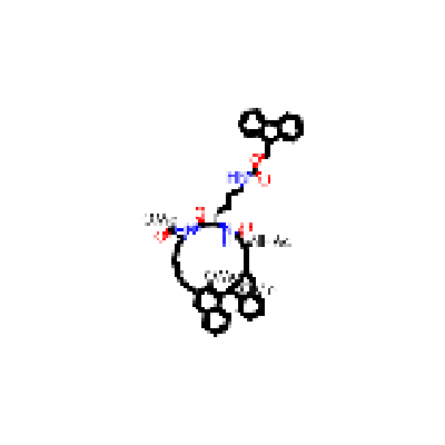 COC(=O)[C@@H]1CC=CCc2cc3ccccc3c(c2OC)-c2c(OC)c(cc3ccccc23)CC(NC(C)=O)C(=O)N[C@@H](CCCCNC(=O)OCC2c3ccccc3-c3ccccc32)C(=O)N1